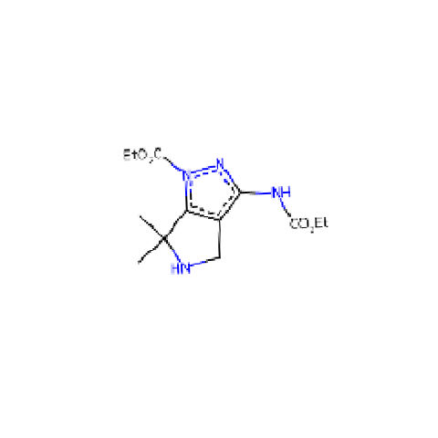 CCOC(=O)Nc1nn(C(=O)OCC)c2c1CNC2(C)C